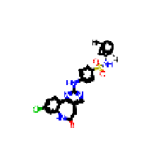 O=C1Cc2cnc(Nc3ccc(S(=O)(=O)N[C@@H]4C[C@@H]5CC[C@@H]4C5)cc3)nc2-c2ccc(Cl)cc2N1